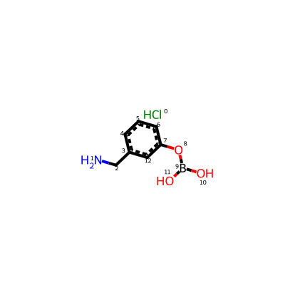 Cl.NCc1cccc(OB(O)O)c1